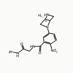 CC(C)NC(=O)CNC(=O)c1cc(N2C[C@H]3NCC32)ccc1[N+](=O)[O-]